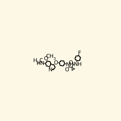 CNc1cc2nccc(Oc3ccc(NC(=O)C4(C(=O)Nc5ccc(F)cc5)CC4)cc3)c2cc1OC